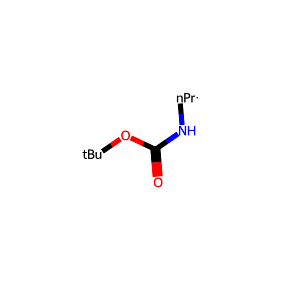 CC[CH]NC(=O)OC(C)(C)C